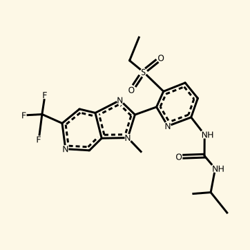 CCS(=O)(=O)c1ccc(NC(=O)NC(C)C)nc1-c1nc2cc(C(F)(F)F)ncc2n1C